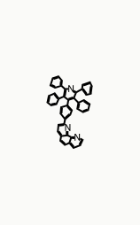 c1ccc(-c2nc(-c3ccccc3)c(-c3ccccc3)c(-c3ccc(-c4ccc5ccc6cccnc6c5n4)cc3)c2-c2ccccc2)cc1